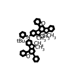 CC(C)(C)c1ccccc1N(c1ccc2c(c1)C(C)(C)c1cc(-c3ccccc3)c3oc4ccccc4c3c1-2)c1ccc2c(c1)C(C)(C)c1c3c(c4oc5ccccc5c4c1-2)-c1ccccc1C3(C)C